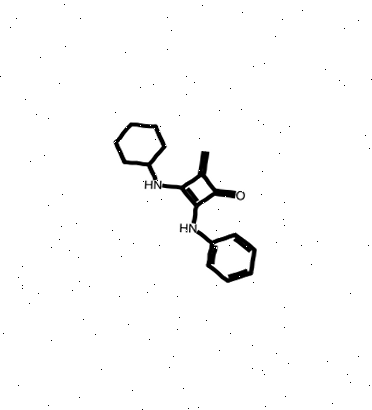 C=C1C(=O)C(Nc2ccccc2)=C1NC1CCCCC1